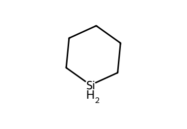 C1CC[SiH2]CC1